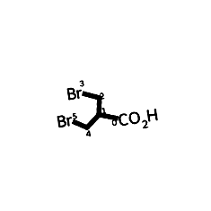 O=C(O)C(CBr)CBr